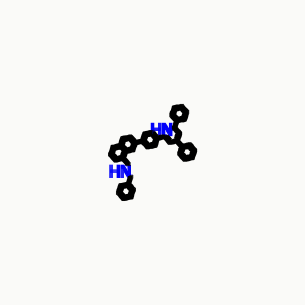 C1=C(c2ccccc2)C=C(c2ccc(-c3ccc4cccc(CNCc5ccccc5)c4c3)cc2)NC1c1ccccc1